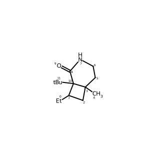 CCC1CC2(C)CCNC(=O)C12C(C)(C)C